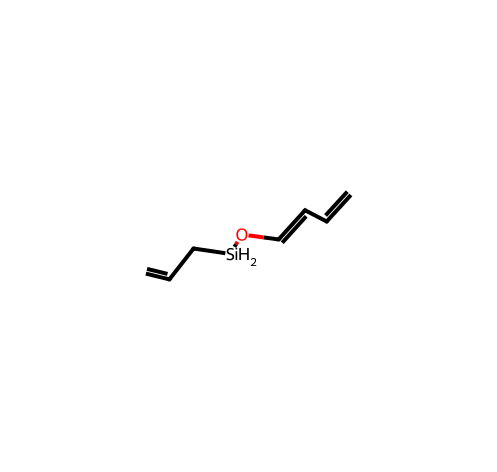 C=CC=CO[SiH2]CC=C